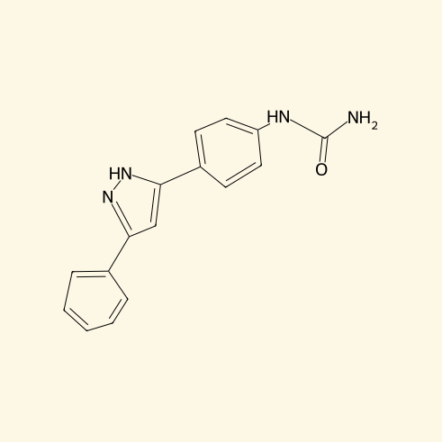 NC(=O)Nc1ccc(-c2cc(-c3ccccc3)n[nH]2)cc1